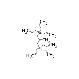 C=CC[Si](CC=C)(CC=C)CC(=C)C[Si](CC=C)(CC=C)CC=C